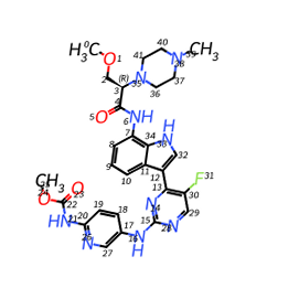 COC[C@H](C(=O)Nc1cccc2c(-c3nc(Nc4ccc(NC(=O)OC)nc4)ncc3F)c[nH]c12)N1CCN(C)CC1